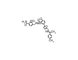 Cc1ccc([C@@H](C)NCc2ccc(-c3ccc(Cl)c(C(=O)N[C@@H](CO)Cc4ccc(C(N)=O)cc4)c3)o2)cc1